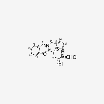 CCC(CCC(=O)N(Cc1ccccc1)Cc1cccs1)NC=O